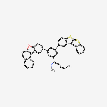 C=N/C(=C\C=C/C)c1cc(-c2ccc3oc4ccc5ccccc5c4c3c2)cc(-c2ccc3sc4sc5ccccc5c4c3c2)c1